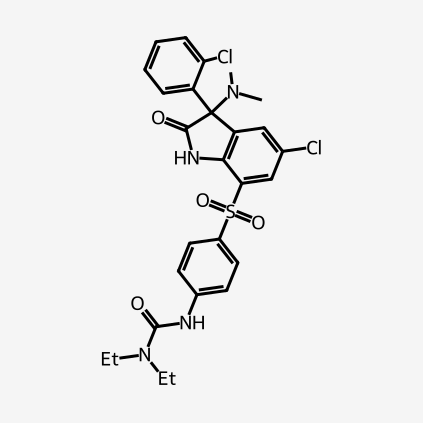 CCN(CC)C(=O)Nc1ccc(S(=O)(=O)c2cc(Cl)cc3c2NC(=O)C3(c2ccccc2Cl)N(C)C)cc1